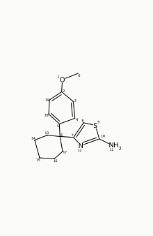 COc1ccc(C2(c3csc(N)n3)CCCCC2)cc1